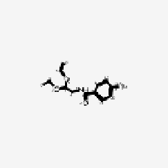 CCOC(CNC(=O)c1ccc([125I])cc1)OCC